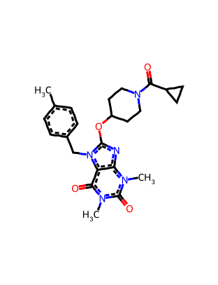 Cc1ccc(Cn2c(OC3CCN(C(=O)C4CC4)CC3)nc3c2c(=O)n(C)c(=O)n3C)cc1